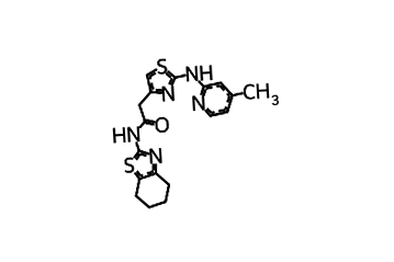 Cc1ccnc(Nc2nc(CC(=O)Nc3nc4c(s3)CCCC4)cs2)c1